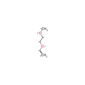 C=COCCOC